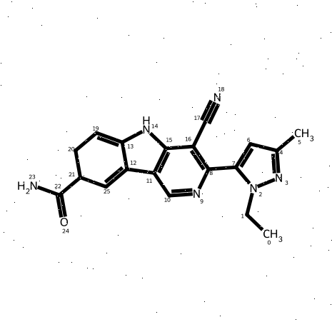 CCn1nc(C)cc1-c1ncc2c3c([nH]c2c1C#N)=CCC(C(N)=O)C=3